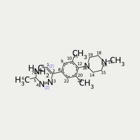 C/C=C(\N=N/C(C)N)c1cc(C)c(N2CCN(C)CC2)c(C)c1